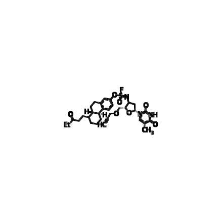 C#CCOC[C@H]1O[C@@H](n2cc(C)c(=O)[nH]c2=O)CC1N=S(=O)(F)Oc1ccc2c(c1)CC[C@H]1C(CCC(=O)CC)CCC[C@H]21